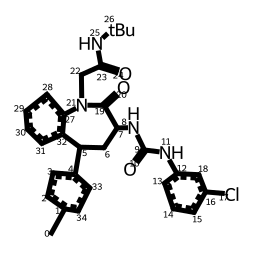 Cc1ccc(C2CC(NC(=O)Nc3cccc(Cl)c3)C(=O)N(CC(=O)NC(C)(C)C)c3ccccc32)cc1